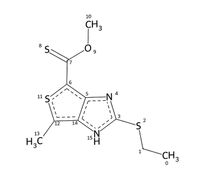 CCSc1nc2c(C(=S)OC)sc(C)c2[nH]1